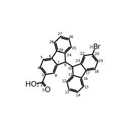 O=C(O)c1ccc2c(c1)C(C1c3ccccc3-c3ccc(Br)cc31)c1ccccc1-2